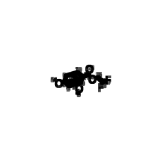 COC12CC3CC(OC)(C1)CC(C(=O)OCC(F)F)(C3)C2